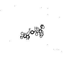 COc1cc2nccc(Oc3ccc(NC(=O)c4c5n(cc(-c6ccco6)c4=O)CCOC5)cc3F)c2nc1OC